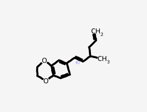 C=CCC(C)/C=C/c1ccc2c(c1)OCCO2